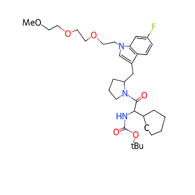 COCCOCCOCCn1cc(CC2CCCN2C(=O)C(NC(=O)OC(C)(C)C)C2CCCCC2)c2ccc(F)cc21